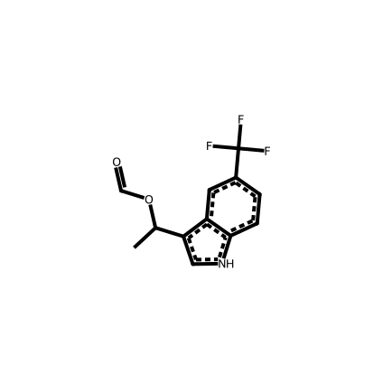 CC(OC=O)c1c[nH]c2ccc(C(F)(F)F)cc12